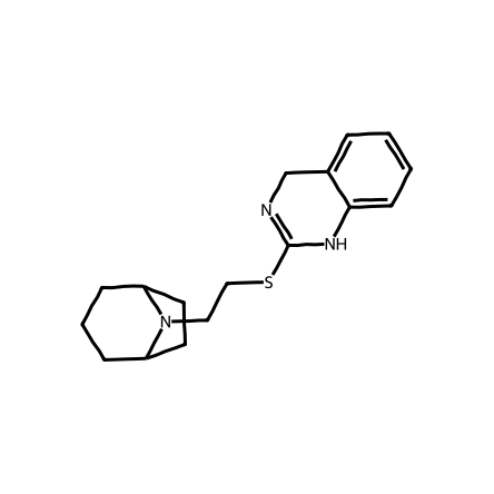 c1ccc2c(c1)CN=C(SCCN1C3CCCC1CC3)N2